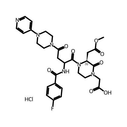 COC(=O)C[C@H]1C(=O)N(CC(=O)O)CCN1C(=O)C(CC(=O)N1CCN(c2ccncc2)CC1)NC(=O)c1ccc(F)cc1.Cl